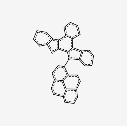 c1cc2ccc3ccc(-n4c5ccccc5c5c6ccccc6c6c7ccccc7sc6c54)c4ccc(c1)c2c34